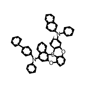 C1=CC2C(N(c3ccccc3)c3ccc4ccccc4c3)=CC3=C(B4c5c(cccc5Oc5cc(N(c6ccccc6)c6ccc(-c7ccccc7)cc6)c6ccccc6c54)O3)C2C=C1